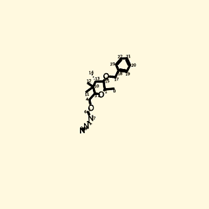 CC1OC(COCN=[N+]=[N-])C(C)(C)[C@H](C)C1OCc1ccccc1